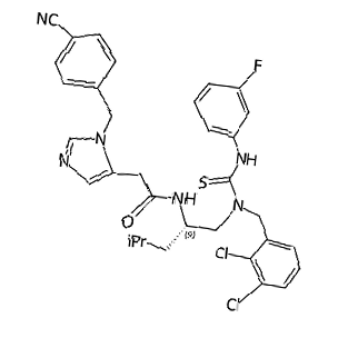 CC(C)C[C@@H](CN(Cc1cccc(Cl)c1Cl)C(=S)Nc1cccc(F)c1)NC(=O)Cc1cncn1Cc1ccc(C#N)cc1